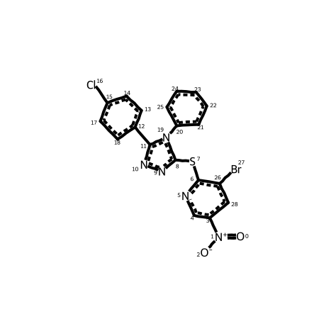 O=[N+]([O-])c1cnc(Sc2nnc(-c3ccc(Cl)cc3)n2-c2ccccc2)c(Br)c1